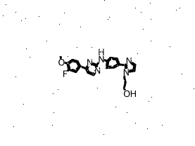 COc1ccc(-c2ccnc(Nc3ccc(-c4nccn4CCCO)cc3)n2)cc1F